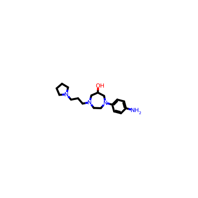 Nc1ccc(N2CCN(CCCN3CCCC3)CC(O)C2)cc1